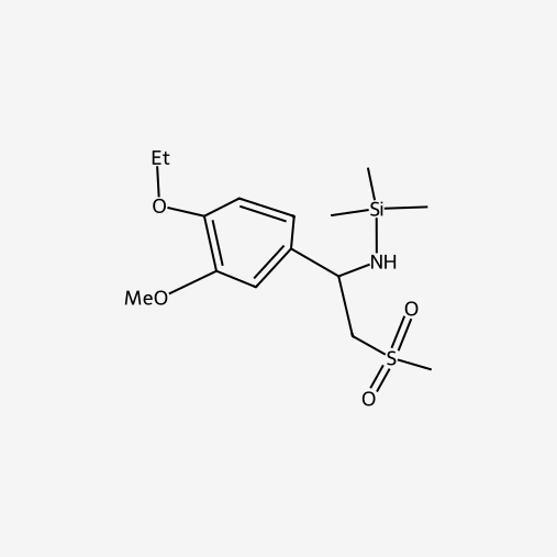 CCOc1ccc(C(CS(C)(=O)=O)N[Si](C)(C)C)cc1OC